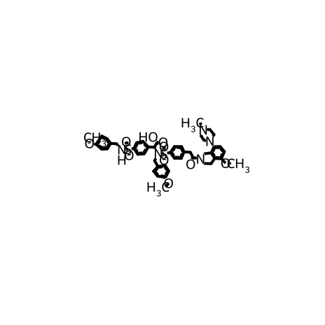 COc1ccc(CNS(=O)(=O)c2ccc(C(C(=O)O)N(Cc3ccc(OC)cc3)S(=O)(=O)c3ccc(CC(=O)N4CCc5c(OC)ccc(N6CCN(C)CC6)c5C4)cc3)cc2)cc1